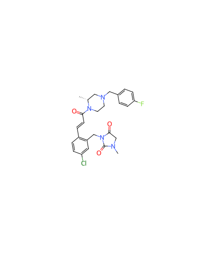 C[C@@H]1CN(Cc2ccc(F)cc2)CCN1C(=O)/C=C/c1ccc(Cl)cc1CN1C(=O)CN(C)C1=O